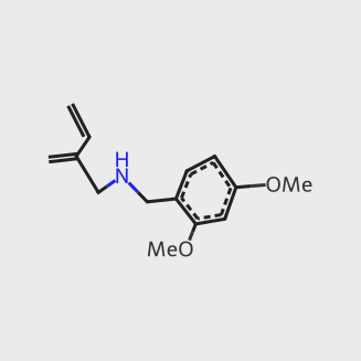 C=CC(=C)CNCc1ccc(OC)cc1OC